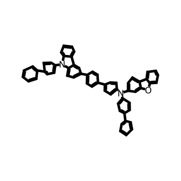 c1ccc(-c2ccc(N(c3ccc(-c4ccc(-c5ccc6c(c5)c5ccccc5n6-c5ccc(-c6ccccc6)cc5)cc4)cc3)c3ccc4c(c3)oc3ccccc34)cc2)cc1